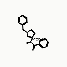 CCOC(=O)[C@@]1(N(C)C(=O)c2ccccc2)CCN(Cc2ccccc2)C1